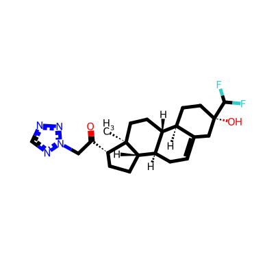 C[C@]12CC[C@H]3[C@@H](CC=C4C[C@](O)(C(F)F)CC[C@@H]43)[C@@H]1CC[C@@H]2C(=O)Cn1ncnn1